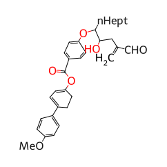 C=C(C=O)CC(O)C(CCCCCCC)Oc1ccc(C(=O)OC2=CC=C(c3ccc(OC)cc3)CC2)cc1